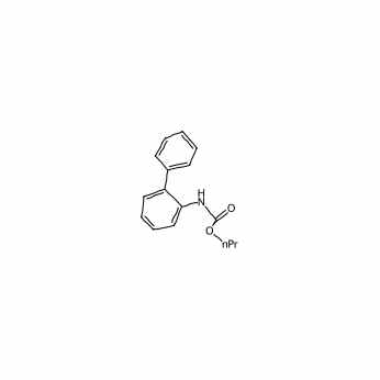 CCCOC(=O)Nc1ccccc1-c1ccccc1